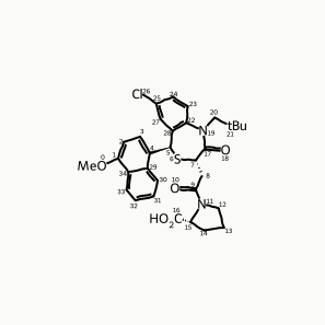 COc1ccc([C@@H]2S[C@@H](CC(=O)N3CCC[C@@H]3C(=O)O)C(=O)N(CC(C)(C)C)c3ccc(Cl)cc32)c2ccccc12